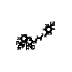 O=C(O)C(CCCCCc1ccc(Cl)cc1)Sc1cccc(C(F)(F)F)c1